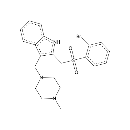 CN1CCN(Cc2c(CS(=O)(=O)c3ccccc3Br)[nH]c3ccccc23)CC1